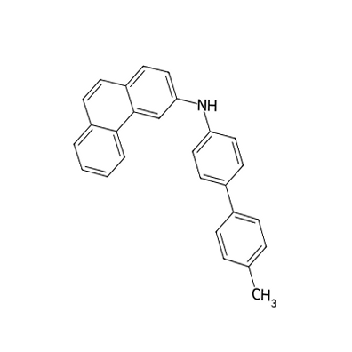 Cc1ccc(-c2ccc(Nc3ccc4ccc5ccccc5c4c3)cc2)cc1